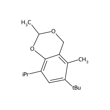 Cc1c(C(C)(C)C)cc(C(C)C)c2c1COC(C)O2